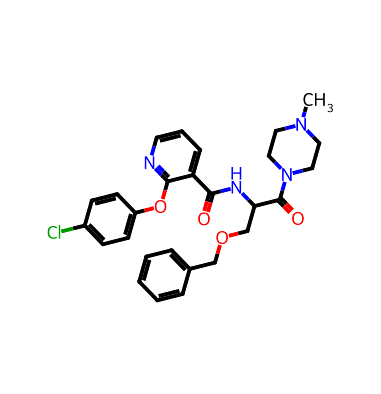 CN1CCN(C(=O)C(COCc2ccccc2)NC(=O)c2cccnc2Oc2ccc(Cl)cc2)CC1